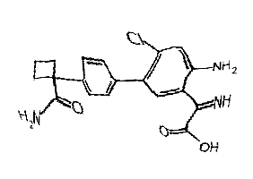 N=C(C(=O)O)c1cc(-c2ccc(C3(C(N)=O)CCC3)cc2)c(Cl)cc1N